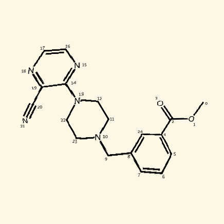 COC(=O)c1cccc(CN2CCN(c3nccnc3C#N)CC2)c1